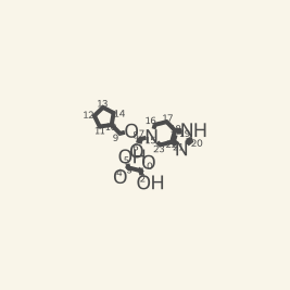 O=C(O)C(=O)O.O=C(OCC1CCCC1)N1CCc2[nH]cnc2C1